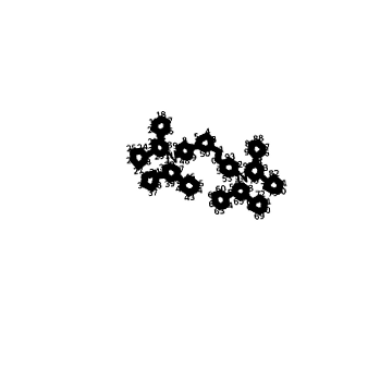 C(=C\c1cccc(-c2ccc(N(c3cc(-c4ccccc4)cc(-c4ccccc4)c3)c3cc(-c4ccccc4)cc(-c4ccccc4)c3)cc2)c1)/c1ccc(N(c2cc(-c3ccccc3)cc(-c3ccccc3)c2)c2cc(-c3ccccc3)cc(-c3ccccc3)c2)cc1